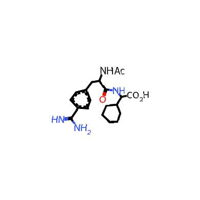 CC(=O)NC(Cc1ccc(C(=N)N)cc1)C(=O)NC(C(=O)O)C1CCCCC1